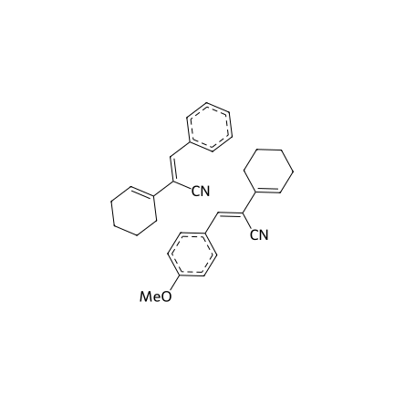 COc1ccc(/C=C(\C#N)C2=CCCCC2)cc1.N#C/C(=C\c1ccccc1)C1=CCCCC1